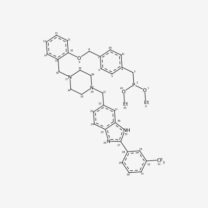 CCOP(Cc1ccc(COc2ccccc2CN2CCN(Cc3ccc4nc(-c5cccc(C(F)(F)F)c5)[nH]c4c3)CC2)cc1)OCC